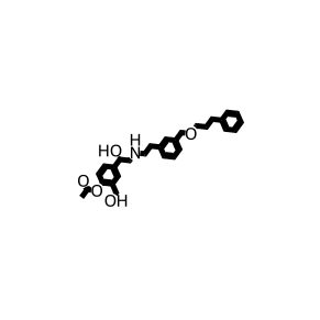 CC(=O)Oc1ccc([C@@H](O)CNCCc2cccc(COCCCc3ccccc3)c2)cc1CO